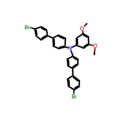 COc1cc(OC)cc(N(c2ccc(-c3ccc(Br)cc3)cc2)c2ccc(-c3ccc(Br)cc3)cc2)c1